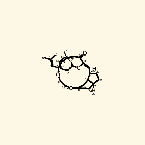 CC(C)=CC1C[C@@H](C)CC(=O)/C(OC2CCCCO2)=C/[C@H]2CC[C@@H]3CC(CC32)OCCO1